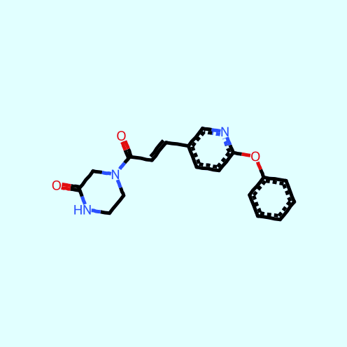 O=C1CN(C(=O)C=Cc2ccc(Oc3ccccc3)nc2)CCN1